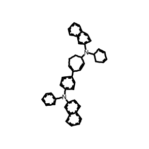 C1=CCC(N(c2ccc3ccccc3c2)C2C=CC(c3ccc(N(c4ccccc4)c4ccc5ccccc5c4)cc3)=CCC2)C=C1